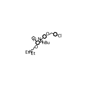 CCCCn1c(-c2ccc(OCCc3ccc(Cl)cc3)cc2)nc2c(N3CCCC3)cc(OCCCN(CC)CC)cc21